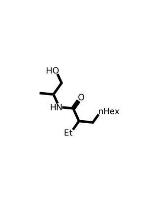 CCCCCCCC(CC)C(=O)NC(C)CO